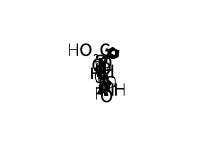 O=C(O)c1ccccc1COP1(=O)OC[C@H]2O[C@@H](n3cc(F)c(=O)[nH]c3=O)C[C@@H]2O1